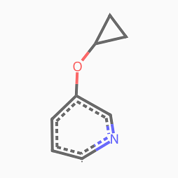 [c]1ccc(OC2CC2)cn1